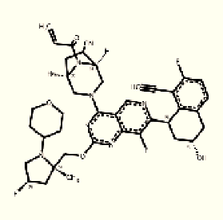 C#Cc1c(F)ccc2c1[C@H](c1ncc3c(N4C[C@H]5CC(C#N)[C@@H](C4)N5C(=O)C=C)nc(OC[C@]4(C)C[C@@H](F)CN4C4CCOCC4)nc3c1F)C[C@@H](O)C2